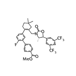 COC(=O)c1ccc(-c2cc(C3=C(CN4C(=O)OC(c5cc(C(F)(F)F)cc(C(F)(F)F)c5)[C@@H]4C)CC(C)(C)CC3)ccc2F)cc1